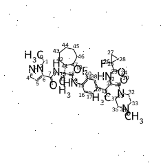 CCn1nccc1C(=O)N[C@@](C)(C(=O)Nc1ccc([C@H](C)[C@@H](NC(=O)C2(F)CC2)C(=O)N2CCN(C)CC2)cc1F)C1CCCCCC1